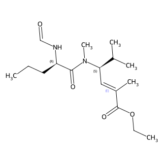 CCC[C@@H](NC=O)C(=O)N(C)[C@H](/C=C(\C)C(=O)OCC)C(C)C